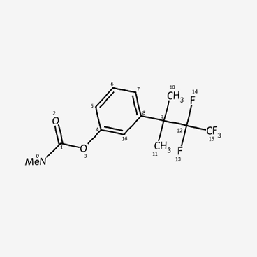 CNC(=O)Oc1cccc(C(C)(C)C(F)(F)C(F)(F)F)c1